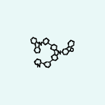 c1ccc(-c2cccc(-c3ccc4c(c3)c3cc(-c5cccc(-n6c7ccccc7c7ccccc76)c5)ccc3n4-c3ccc4oc5ccccc5c4c3)c2)nc1